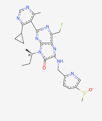 CC[C@@H](C)n1c(=O)c(NCc2ccc([S+](C)[O-])cn2)nc2c(CF)nc(-c3c(C)ncnc3C3CC3)nc21